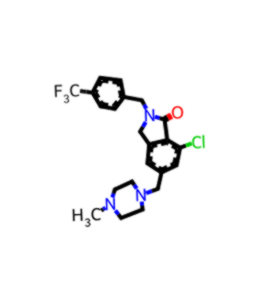 CN1CCN(Cc2cc(Cl)c3c(c2)CN(Cc2ccc(C(F)(F)F)cc2)C3=O)CC1